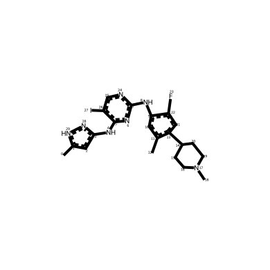 Cc1cc(Nc2nc(Nc3cc(C)c(C4CCN(C)CC4)cc3F)ncc2I)n[nH]1